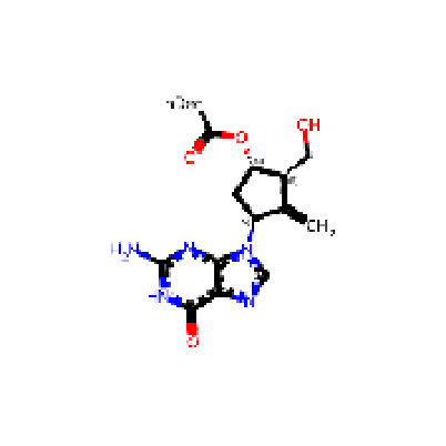 C=C1[C@H](CO)[C@@H](OC(=O)CCCCCCCCCC)C[C@@H]1n1cnc2c(=O)[nH]c(N)nc21